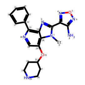 CCn1c(-c2nonc2N)nc2c(-c3ccccc3)ncc(OC3CCNCC3)c21